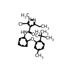 CCc1nn(C)c(Cl)c1C(=O)Nc1ccccc1Oc1cc(C)ccc1C(C)(C)C